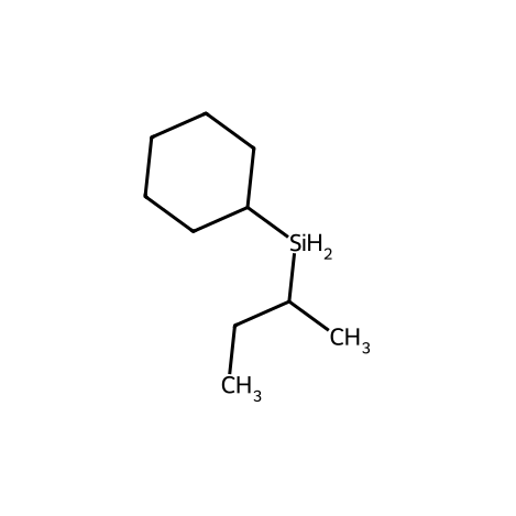 CCC(C)[SiH2]C1CCCCC1